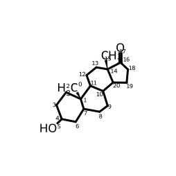 C[C@]12CCC(O)CC1CCC1C2CC[C@]2(C)C(=O)CCC12